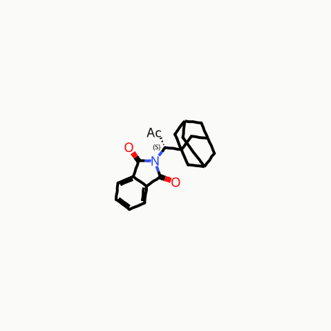 CC(=O)[C@@H](N1C(=O)c2ccccc2C1=O)C12CC3CC(CC(C3)C1)C2